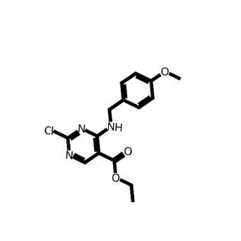 CCOC(=O)c1cnc(Cl)nc1NCc1ccc(OC)cc1